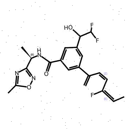 C=C(/C=C\C(F)=C/C)c1cc(C(=O)N[C@H](C)c2noc(C)n2)cc(C(O)C(F)F)c1